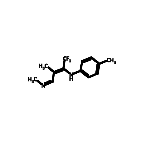 C/N=C\C(C)=C(/Nc1ccc(C)cc1)C(F)(F)F